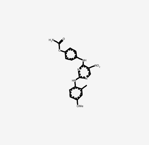 COc1ccc(Nc2ncc([N+](=O)[O-])c(Nc3ccc(OC(N)=O)cc3)n2)c(C)c1